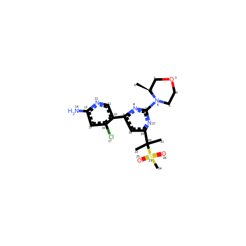 C[C@H]1COCCN1c1nc(-c2cnc(N)cc2Cl)cc(C(C)(C)S(C)(=O)=O)n1